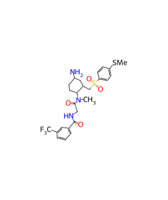 CSc1ccc(S(=O)(=O)CC2CC(N)CCC2N(C)C(=O)CNC(=O)c2cccc(C(F)(F)F)c2)cc1